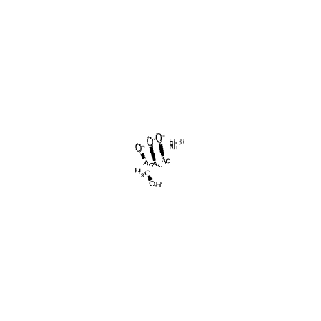 CC(=O)[O-].CC(=O)[O-].CC(=O)[O-].CO.[Rh+3]